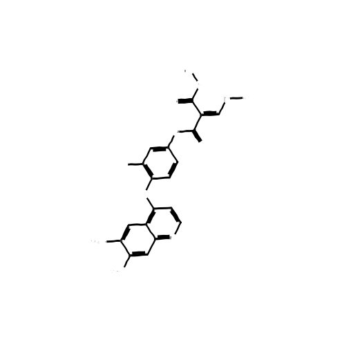 COc1cc2nccc(Oc3ccc(NC(=O)/C(=C/NC(C)C)C(=O)NC(C)C)cc3F)c2cc1OC